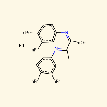 CCCCCCCCC(=Nc1ccc(CCC)c(CCC)c1)C(C)=Nc1ccc(CCC)c(CCC)c1.[Pd]